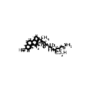 CC(CCC(=O)NCC(=O)NC(CCCCN)C(=O)O)[C@H]1CCC2C3CCC4C[C@H](O)CC[C@]4(C)C3C[C@H](O)[C@@]21C